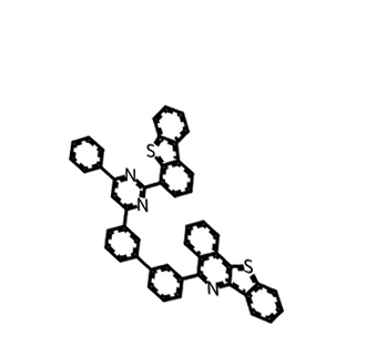 c1ccc(-c2cc(-c3cccc(-c4cccc(-c5nc6c7ccccc7sc6c6ccccc56)c4)c3)nc(-c3cccc4c3sc3ccccc34)n2)cc1